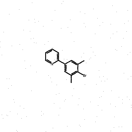 Cc1cc(-c2ccccn2)cc(C)c1Br